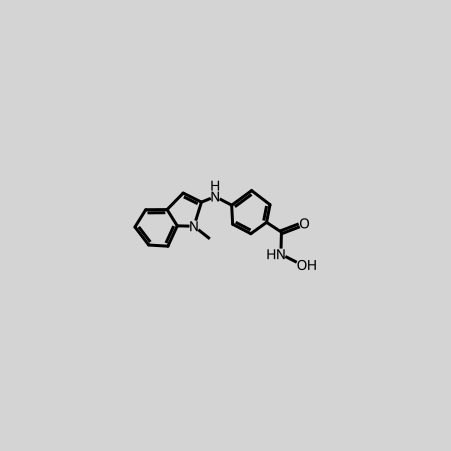 Cn1c(Nc2ccc(C(=O)NO)cc2)cc2ccccc21